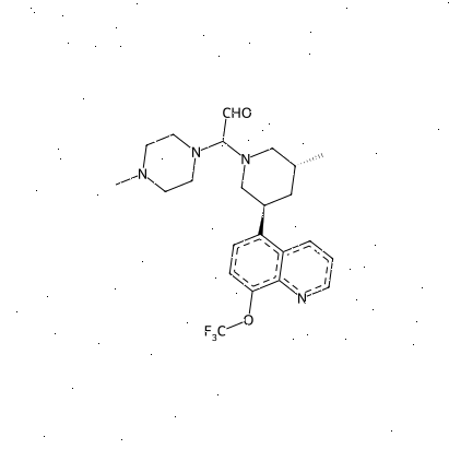 C[C@@H]1C[C@@H](c2ccc(OC(F)(F)F)c3ncccc23)CN(C(C=O)N2CCN(C)CC2)C1